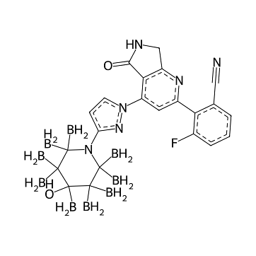 BC1(B)N(c2ccn(-c3cc(-c4c(F)cccc4C#N)nc4c3C(=O)NC4)n2)C(B)(B)C(B)(B)C(B)(O)C1(B)B